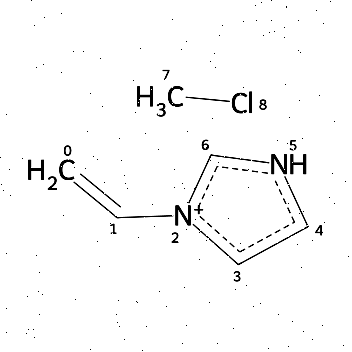 C=C[n+]1cc[nH]c1.CCl